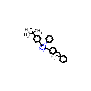 CC1(Cc2ccc(-c3nnc(-c4ccc(C(C)(C)C)cc4)n3-c3ccccc3)cc2)C=CC=CC1